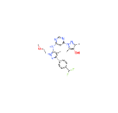 COCCn1nc(-c2ccc(C(F)F)cc2)c(C)c1Nc1cc(-n2nc(C)c(O)c2C)ncn1